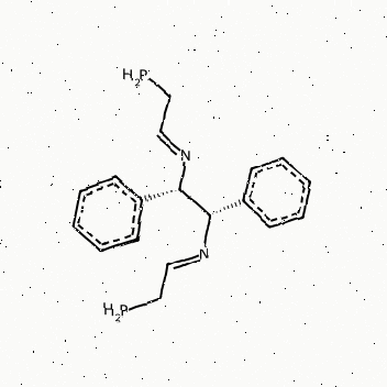 PC/C=N/[C@@H](c1ccccc1)[C@@H](/N=C/CP)c1ccccc1